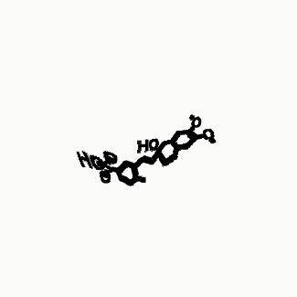 COc1cc2c(cc1OC)CC(O)(CCc1cc(S(=O)(=O)O)ccc1C)CC2